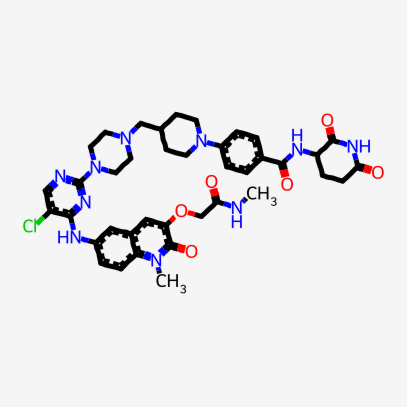 CNC(=O)COc1cc2cc(Nc3nc(N4CCN(CC5CCN(c6ccc(C(=O)NC7CCC(=O)NC7=O)cc6)CC5)CC4)ncc3Cl)ccc2n(C)c1=O